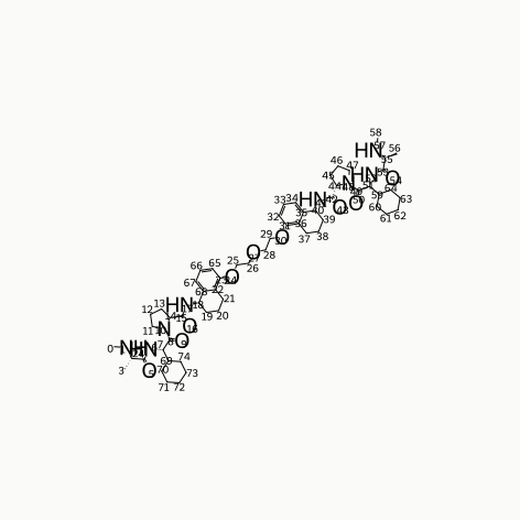 CN[C@@H](C)C(=O)N[C@H](C(=O)N1CCC[C@H]1C(=O)N[C@@H]1CCCc2c(OCCOCCOc3cccc4c3CCC[C@H]4NC(=O)[C@@H]3CCCN3C(=O)[C@@H](NC(=O)[C@H](C)NC)C3CCCCC3)cccc21)C1CCCCC1